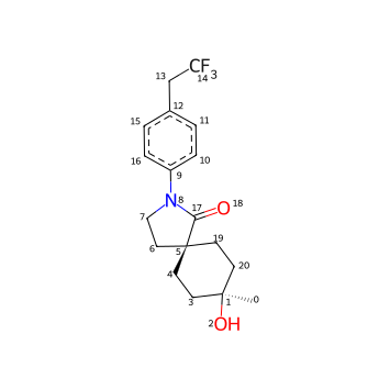 C[C@]1(O)CC[C@]2(CCN(c3ccc(CC(F)(F)F)cc3)C2=O)CC1